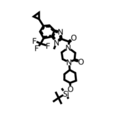 Cn1c(C(=O)N2CCN(C3CCC(O[Si](C)(C)C(C)(C)C)CC3)C(=O)C2)nc2cc(C3CC3)cc(C(F)(F)F)c21